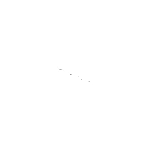 O=C(O)CCCCCCCCCCCCC(O)C(O)C(=O)O